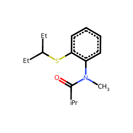 CCC(CC)Sc1ccccc1N(C)C(=O)C(C)C